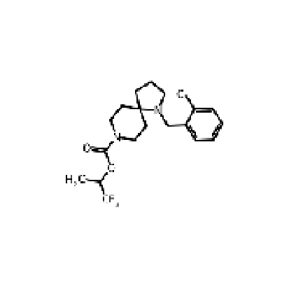 CC(OC(=O)N1CCC2(CCCN2Cc2ccccc2Cl)CC1)C(F)(F)F